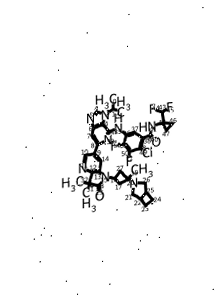 CC(C)n1cnc2cc(-c3cnc4c(c3)N(C3CC(C)(N5CC6CCC6C5)C3)C(=O)C4(C)C)nc(Nc3cc(C(=O)NC4(C(F)F)CC4)c(Cl)c(F)c3F)c21